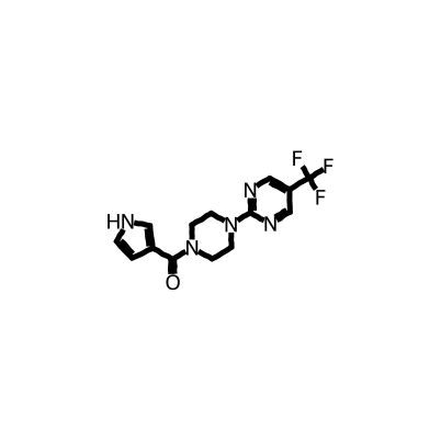 O=C(c1cc[nH]c1)N1CCN(c2ncc(C(F)(F)F)cn2)CC1